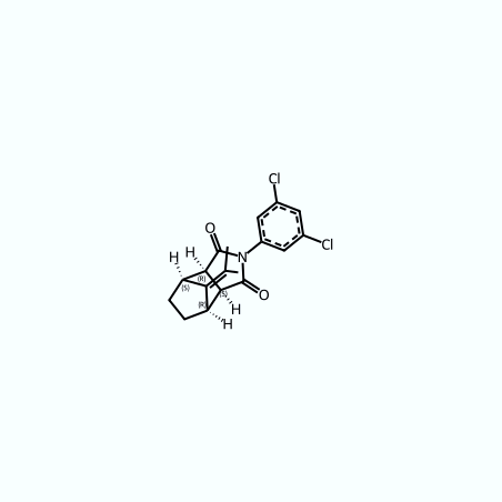 CC(C)=C1[C@H]2CC[C@@H]1[C@@H]1C(=O)N(c3cc(Cl)cc(Cl)c3)C(=O)[C@@H]12